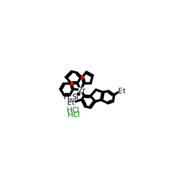 CCc1ccc2c(c1)Cc1c-2ccc(CC)[c]1[Zr](=[SiH2])([C]1=CC=CC1)([c]1ccccc1)[c]1ccccc1.Cl.Cl